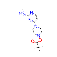 CNc1nccc(N2CCN(OC(=O)C(C)(C)C)CC2)n1